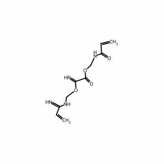 C=CC(=N)NCOC(=N)C(=O)OCNC(=O)C=C